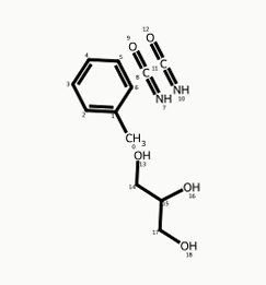 Cc1ccccc1.N=C=O.N=C=O.OCC(O)CO